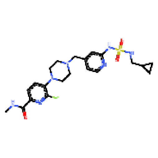 CNC(=O)c1ccc(N2CCN(Cc3ccnc(NS(=O)(=O)NCC4CC4)c3)CC2)c(F)n1